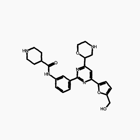 O=C(Nc1cccc(-c2nc(-c3ccc(CO)o3)cc(C3CNCCO3)n2)c1)C1CCNCC1